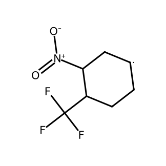 O=[N+]([O-])C1C[CH]CCC1C(F)(F)F